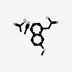 CC#N.CC(N)=O.COc1ccc2cccc(CC(=O)Cl)c2c1